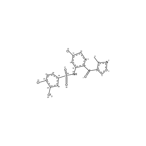 Cc1nocc1C(=O)c1ncc(Cl)cc1NS(=O)(=O)c1ccc(Cl)c(C(F)(F)F)c1